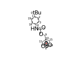 CC(C)(C)c1ccc(NC(=O)OCC23COP(OC2)OC3)cc1